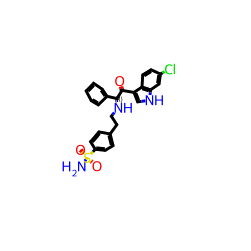 NS(=O)(=O)c1ccc(CCN[C@@H](C(=O)c2c[nH]c3cc(Cl)ccc23)c2ccccc2)cc1